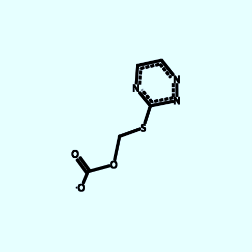 [O]C(=O)OCSc1nccnn1